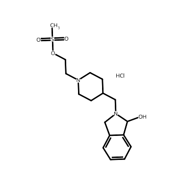 CS(=O)(=O)OCCN1CCC(CN2Cc3ccccc3C2O)CC1.Cl